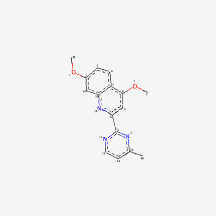 COc1ccc2c(OC)cc(-c3nccc(C)n3)nc2c1